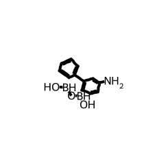 Nc1cccc(-c2ccccc2)c1.OBOBO